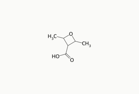 CC1OC(C)C1C(=O)O